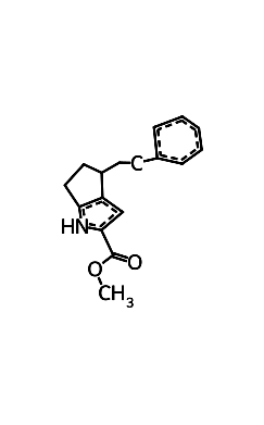 COC(=O)c1cc2c([nH]1)CCC2CCc1ccccc1